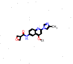 CCOc1cc(-n2cnc(C)c2)nc2ccc(NC(=O)C3COC3)cc12